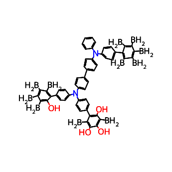 Bc1c(B)c(B)c(-c2ccc(N(c3ccccc3)c3ccc(-c4ccc(N(c5ccc(-c6c(B)c(B)c(B)c(B)c6O)cc5)c5ccc(-c6c(B)c(O)c(O)c(B)c6O)cc5)cc4)cc3)cc2)c(B)c1B